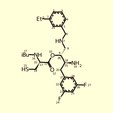 CCc1cccc(CNC[C@@H](OC(=O)[C@@H](CS)NC(C)CC)[C@@H](N)Cc2cc(F)cc(F)c2)c1